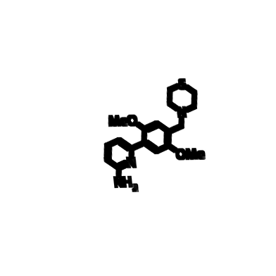 COc1cc(-c2cccc(N)n2)c(OC)cc1CN1CCSCC1